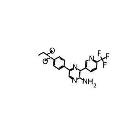 CCS(=O)(=O)c1ccc(-c2cnc(N)c(-c3ccc(C(F)(F)F)nc3)n2)cc1